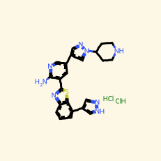 Cl.Cl.Nc1ncc(-c2cnn(C3CCNCC3)c2)cc1-c1nc2cccc(-c3cn[nH]c3)c2s1